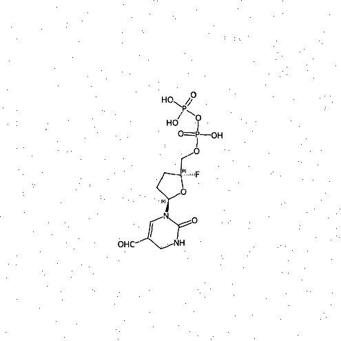 O=CC1=CN([C@H]2CC[C@@](F)(COP(=O)(O)OP(=O)(O)O)O2)C(=O)NC1